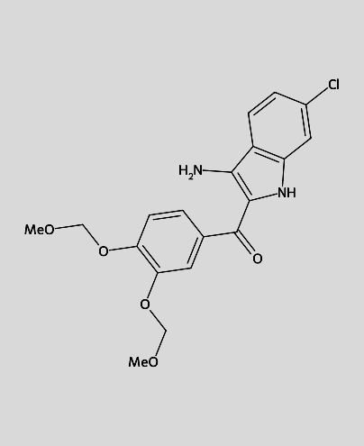 COCOc1ccc(C(=O)c2[nH]c3cc(Cl)ccc3c2N)cc1OCOC